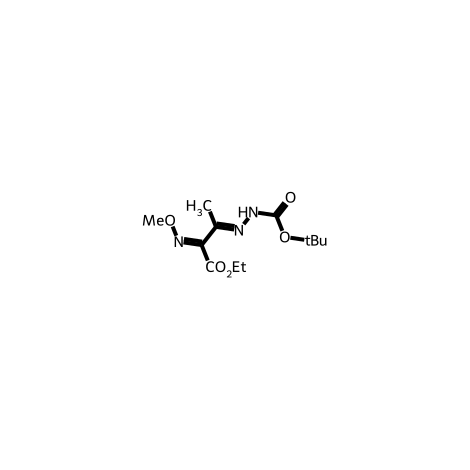 CCOC(=O)C(=NOC)C(C)=NNC(=O)OC(C)(C)C